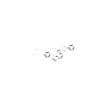 COc1cc(Nc2cnc3ccc(NC(=O)N(S)c4ccccc4)nc3n2)cc(OC)c1OC